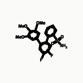 COc1cc(-c2cc(F)c(F)cc2-c2ccccc2S(N)(=O)=O)cc(OC)c1OC